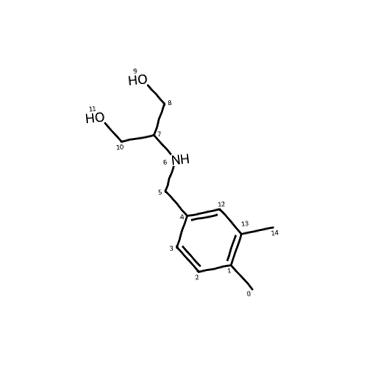 Cc1ccc(CNC(CO)CO)cc1C